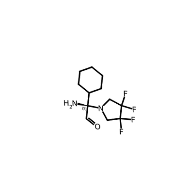 N[C@@](C=O)(C1CCCCC1)N1CC(F)(F)C(F)(F)C1